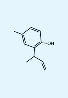 C=CC(C)c1cc(C)ccc1O